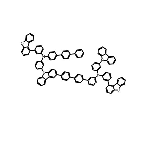 c1ccc(-c2ccc(-c3ccc(N(c4cccc(-c5cccc6oc7ccccc7c56)c4)c4cccc(-n5c6ccccc6c6cc(-c7ccc(-c8ccc(-c9cccc(N(c%10cccc(-c%11cccc%12oc%13ccccc%13c%11%12)c%10)c%10cccc(-n%11c%12ccccc%12c%12ccccc%12%11)c%10)c9)cc8)cc7)ccc65)c4)cc3)cc2)cc1